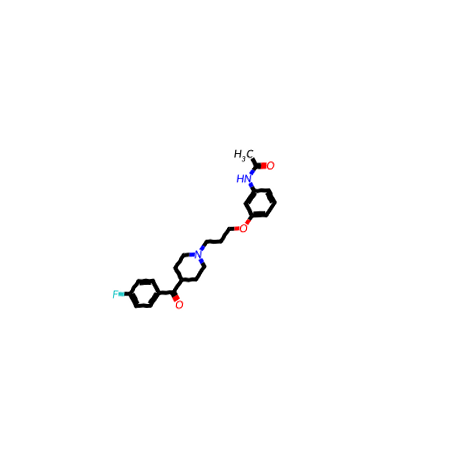 CC(=O)Nc1cccc(OCCCN2CCC(C(=O)c3ccc(F)cc3)CC2)c1